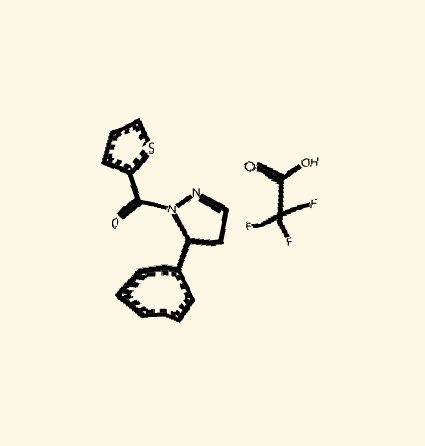 O=C(O)C(F)(F)F.O=C(c1cccs1)N1N=CCC1c1ccccc1